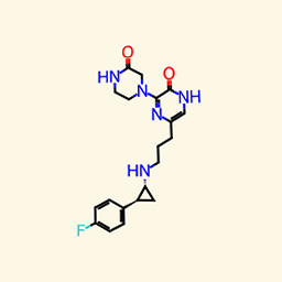 O=C1CN(c2nc(CCCN[C@@H]3C[C@H]3c3ccc(F)cc3)c[nH]c2=O)CCN1